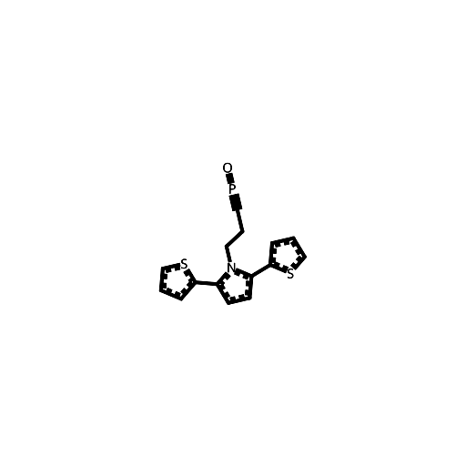 O=P#CCCn1c(-c2cccs2)ccc1-c1cccs1